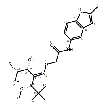 CO[C@H](/C(=N/OCC(=O)Nc1ccc2[nH]c(C)cc2c1)[C@@H](O)[C@@H](C)O)C(C)(C)C